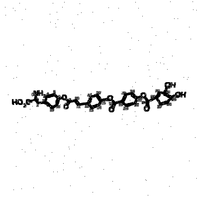 N[C@@H](Cc1ccc(OC(=O)C=Cc2ccc(OC(=O)c3ccc(OC(=O)c4ccc(O)c(O)c4)cc3)cc2)cc1)C(=O)O